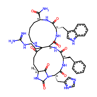 N=C(N)NCCC12NCCCC[C@@H](C(N)=O)NC(=O)[C@H](Cc3c[nH]c4ccccc34)NC(=O)[C@H]1NC(=O)[C@@H](Cc1ccccc1)NC(=O)[C@H](Cc1cnc[nH]1)N1C(=O)N[C@@H](CCC2=O)C1=O